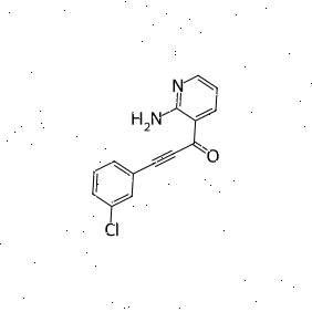 Nc1ncccc1C(=O)C#Cc1cccc(Cl)c1